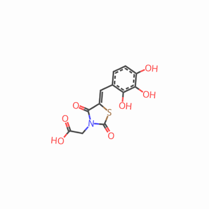 O=C(O)CN1C(=O)SC(=Cc2ccc(O)c(O)c2O)C1=O